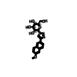 COc1ccc2cc(-c3cn(C4O[C@H](CO)[C@@H](O)[C@H](O)[C@H]4O)nn3)ccc2c1